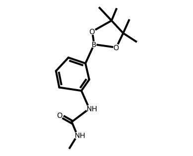 CNC(=O)Nc1cccc(B2OC(C)(C)C(C)(C)O2)c1